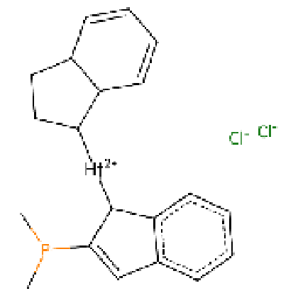 CP(C)C1=Cc2ccccc2[CH]1[Hf+2][CH]1CCC2C=CC=CC21.[Cl-].[Cl-]